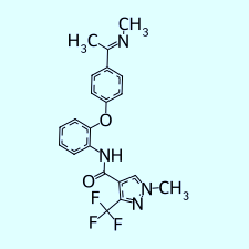 C/N=C(\C)c1ccc(Oc2ccccc2NC(=O)c2cn(C)nc2C(F)(F)F)cc1